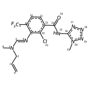 C=CCN(C)C=Nc1c(C(F)(F)F)ccc(C(=O)Nc2nnnn2C)c1Cl